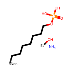 CCCCCCCCCCCCCCCCOP(=O)(O)O.CCO.N